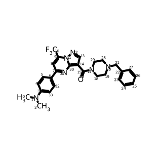 CN(C)c1ccc(-c2cc(C(F)(F)F)n3ncc(C(=O)N4CCN(Cc5ccccc5)CC4)c3n2)cc1